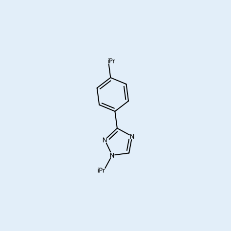 CC(C)c1ccc(-c2ncn(C(C)C)n2)cc1